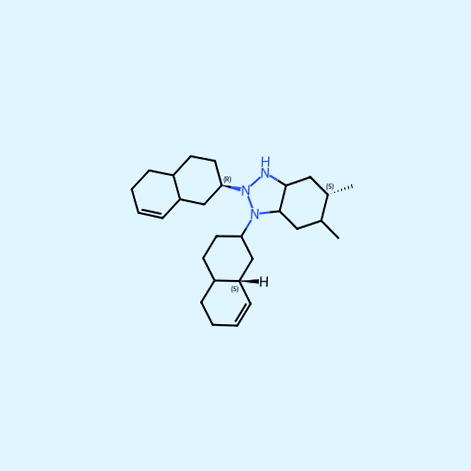 CC1CC2C(C[C@@H]1C)NN([C@@H]1CCC3CCC=CC3C1)N2C1CCC2CCC=C[C@H]2C1